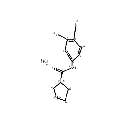 Cl.O=C(Nc1ccc(F)c(F)c1)[C@H]1CCNC1